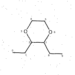 CC[C]1OCCOC1CC